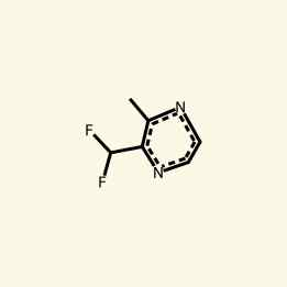 Cc1nccnc1C(F)F